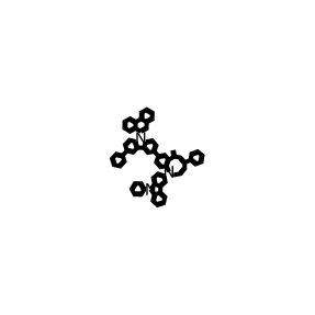 C=C1/C=C(c2ccccc2)\C=C/CN(c2ccc3c(c2)c2ccccc2n3-c2ccccc2)c2ccc(-c3ccc4c(c3)c3cc(-c5ccccc5)ccc3n4-c3cc4ccccc4c4ccccc34)cc21